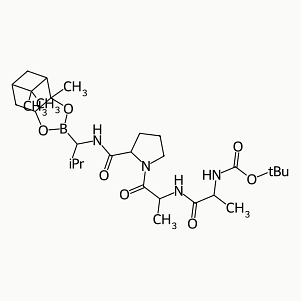 CC(NC(=O)OC(C)(C)C)C(=O)NC(C)C(=O)N1CCCC1C(=O)NC(B1OC2CC3CC(C3(C)C)C2(C)O1)C(C)C